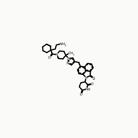 CC1(n2cc(Cc3ccc4c5c(cccc35)C(=O)N4C3CCC(=O)NC3=O)cn2)CCN(C(=O)C2(CCN)CCCCC2)CC1